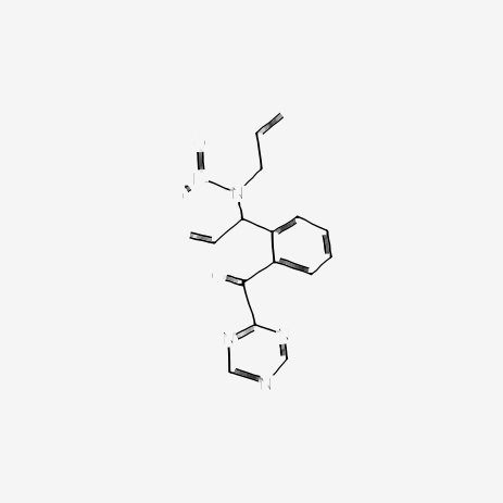 C=CCN(C(C=C)c1ccccc1C(=O)c1ncncn1)[SH](=O)=O